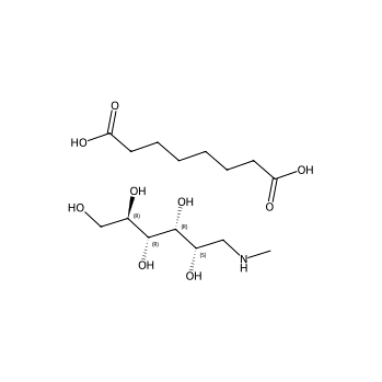 CNC[C@H](O)[C@@H](O)[C@H](O)[C@H](O)CO.O=C(O)CCCCCCC(=O)O